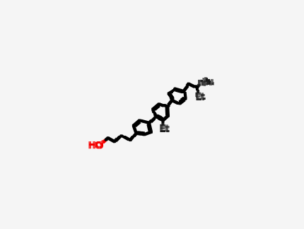 CCCCC(CC)Cc1ccc(-c2ccc(-c3ccc(CCCCO)cc3)c(CC)c2)cc1